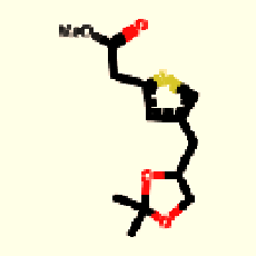 COC(=O)Cc1cc(CC2COC(C)(C)O2)cs1